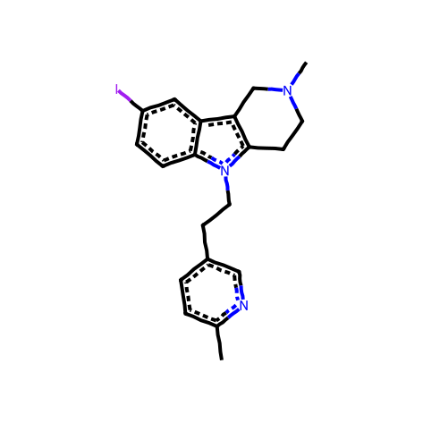 Cc1ccc(CCn2c3c(c4cc(I)ccc42)CN(C)CC3)cn1